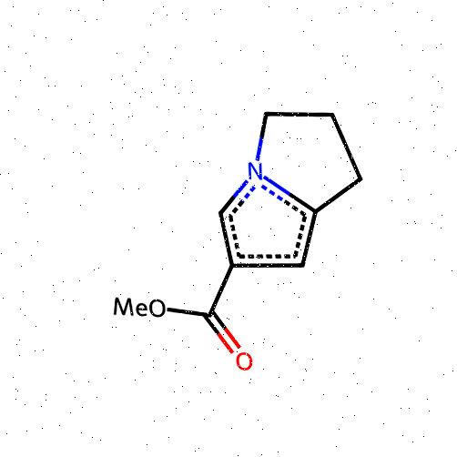 COC(=O)c1cc2n(c1)CCC2